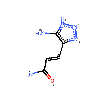 NC(=O)C=Cc1nn[nH]c1N